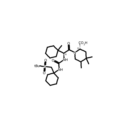 CC1CN(C(=O)[C@@H](NC(=O)NC2(CS(=O)(=O)C(C)(C)C)CCCCC2)C2(C)CCCCC2)[C@H](C(=O)O)CC1(C)C